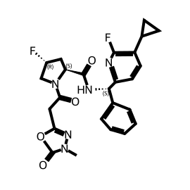 Cn1nc(CC(=O)N2C[C@H](F)C[C@H]2C(=O)N[C@@H](c2ccccc2)c2ccc(C3CC3)c(F)n2)oc1=O